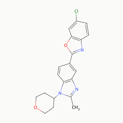 Cc1nc2cc(-c3nc4ccc(Cl)cc4o3)ccc2n1C1CCOCC1